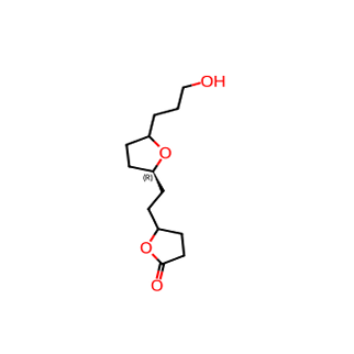 O=C1CCC(CC[C@H]2CCC(CCCO)O2)O1